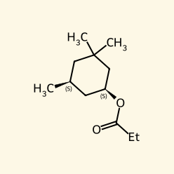 CCC(=O)O[C@H]1C[C@@H](C)CC(C)(C)C1